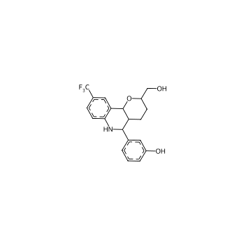 OCC1CCC2C(c3cccc(O)c3)Nc3ccc(C(F)(F)F)cc3C2O1